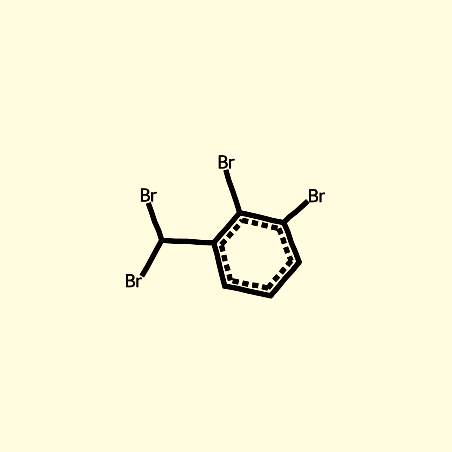 Brc1cccc(C(Br)Br)c1Br